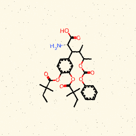 CCC(C)(C)C(=O)Oc1ccc(C(C(C)C(C)OC(=O)Oc2ccccc2)[C@H](N)C(=O)O)cc1OC(=O)C(C)(C)CC